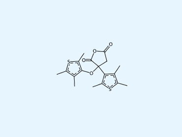 Cc1sc(C)c(OC2(c3c(C)sc(C)c3C)CC(=O)OC2=O)c1C